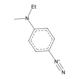 CCN(C)c1ccc([N+]#N)cc1